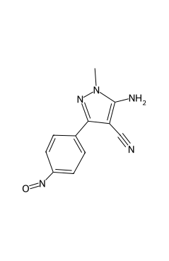 Cn1nc(-c2ccc(N=O)cc2)c(C#N)c1N